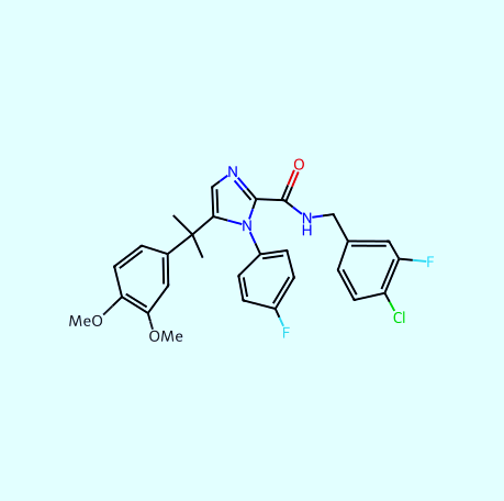 COc1ccc(C(C)(C)c2cnc(C(=O)NCc3ccc(Cl)c(F)c3)n2-c2ccc(F)cc2)cc1OC